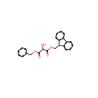 O=C(OCc1ccccc1)C(O)C(=O)OCC1c2ccccc2-c2ccccc21